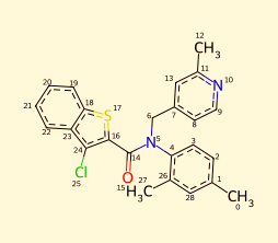 Cc1ccc(N(Cc2ccnc(C)c2)C(=O)c2sc3ccccc3c2Cl)c(C)c1